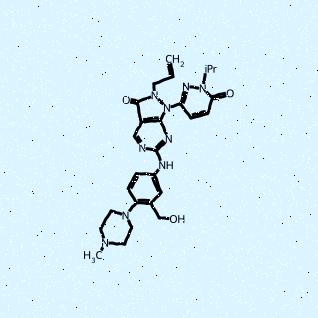 C=CCn1c(=O)c2cnc(Nc3ccc(N4CCN(C)CC4)c(CO)c3)nc2n1-c1ccc(=O)n(C(C)C)n1